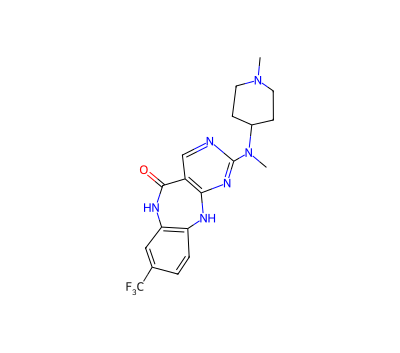 CN1CCC(N(C)c2ncc3c(n2)Nc2ccc(C(F)(F)F)cc2NC3=O)CC1